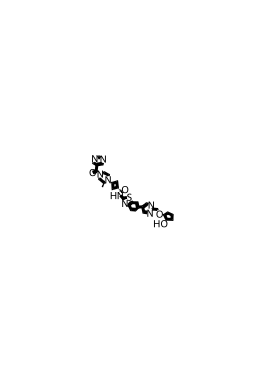 C[C@H]1CN(C(=O)c2cncnc2)CCN1[C@H]1C[C@@H](C(=O)Nc2nc3ccc(-c4cnc(CO[C@H]5CCC[C@@H]5O)nc4)cc3s2)C1